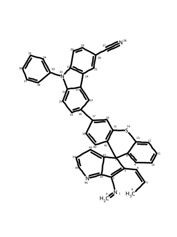 C=NC1=C(/C=C\C)C2(c3ccccc3Sc3cc(-c4ccc5c(c4)c4cc(C#N)ccc4n5-c4ccccc4)ccc32)c2cccnc21